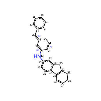 C\C=C/C(=C\C=C\c1ccccc1)Nc1ccc2c(c1)CC1=C2C=CCC1